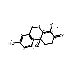 CCCCC12CCC(=O)C(C)=C1CCc1cc(O)ccc12